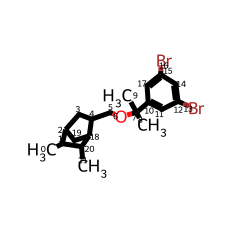 CC1C2CC(COC(C)(C)c3cc(Br)cc(Br)c3)C(C2)C1C